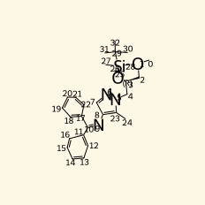 COC[C@@H](Cn1ncc(N=C(c2ccccc2)c2ccccc2)c1C)O[Si](C)(C)C(C)(C)C